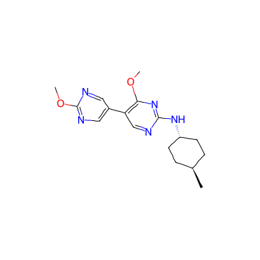 COc1ncc(-c2cnc(N[C@H]3CC[C@H](C)CC3)nc2OC)cn1